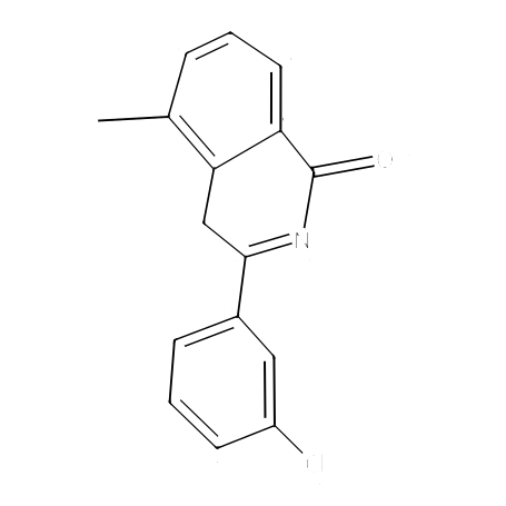 Cc1cccc2c1CC(c1cccc(Cl)c1)=NC2=O